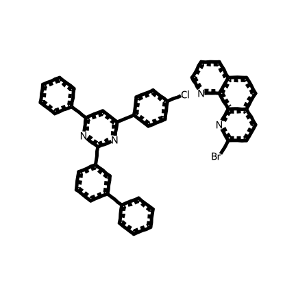 Brc1ccc2ccc3cccnc3c2n1.Clc1ccc(-c2cc(-c3ccccc3)nc(-c3cccc(-c4ccccc4)c3)n2)cc1